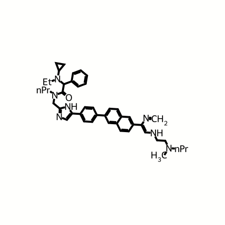 C=N/C(=C\NCCN(C)CCC)c1ccc2cc(-c3ccc(-c4cnc(CN(CCC)C(=O)C(c5ccccc5)N(CC)C5CC5)[nH]4)cc3)ccc2c1